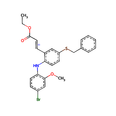 CCOC(=O)/C=C/c1cc(SCc2ccccc2)ccc1Nc1ccc(Br)cc1OC